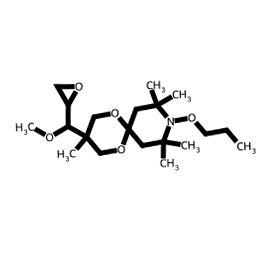 CCCON1C(C)(C)CC2(CC1(C)C)OCC(C)(C(OC)C1CO1)CO2